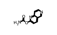 NC(=O)Oc1ccc2cnccc2n1